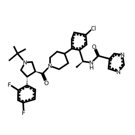 C[C@H](NC(=O)c1cncnc1)c1cc(Cl)ccc1C1CCN(C(=O)[C@@H]2CN(C(C)(C)C)C[C@H]2c2ccc(F)cc2F)CC1